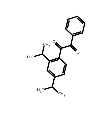 CC(C)c1[c]c(C(C)C)c(C(=O)C(=O)c2ccccc2)cc1